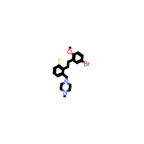 COc1ccc(Br)cc1CCc1c(F)cccc1CN1CCN(C)CC1